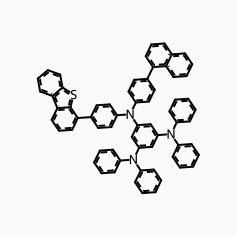 c1ccc(N(c2ccccc2)c2cc(N(c3ccccc3)c3ccccc3)cc(N(c3ccc(-c4cccc5ccccc45)cc3)c3ccc(-c4cccc5c4sc4ccccc45)cc3)c2)cc1